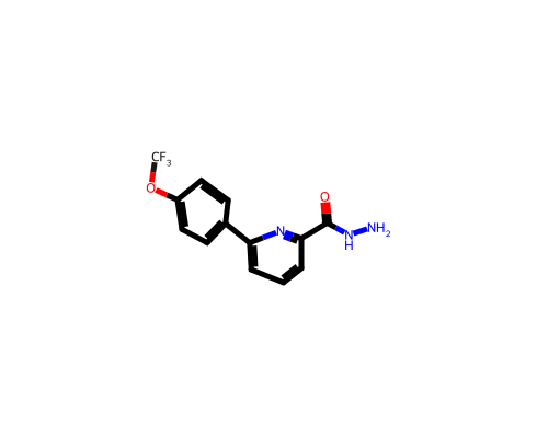 NNC(=O)c1cccc(-c2ccc(OC(F)(F)F)cc2)n1